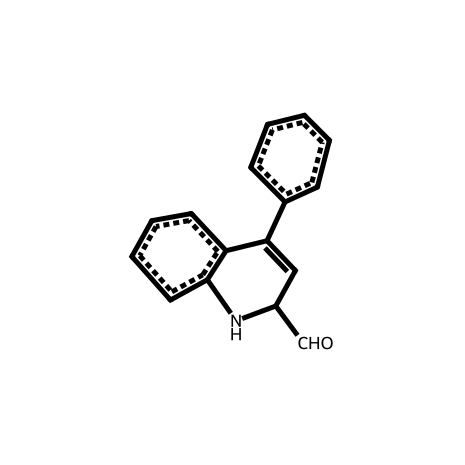 O=CC1C=C(c2ccccc2)c2ccccc2N1